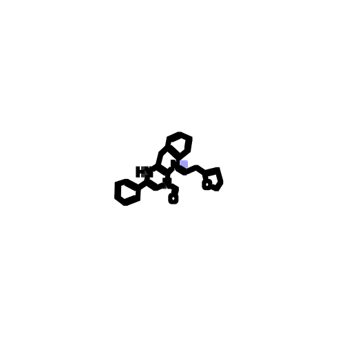 O=CN1C=C(c2ccccc2)NC(Cc2ccccc2)=C1/N=C/CC1=CCCO1